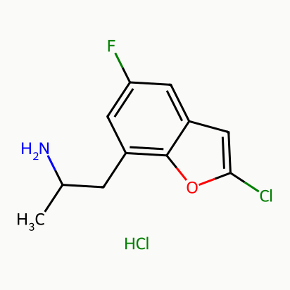 CC(N)Cc1cc(F)cc2cc(Cl)oc12.Cl